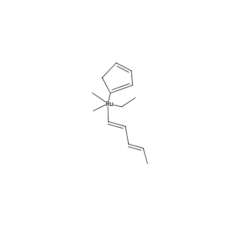 CC=CC=[CH][Ru]([CH3])([CH3])([CH2]C)[C]1=CC=CC1